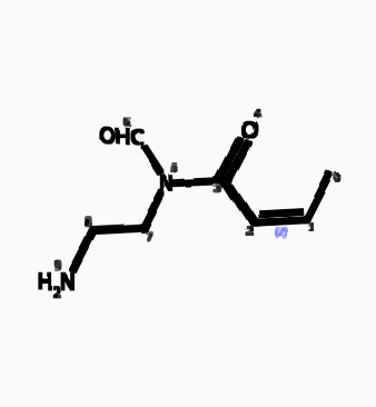 C/C=C\C(=O)N(C=O)CCN